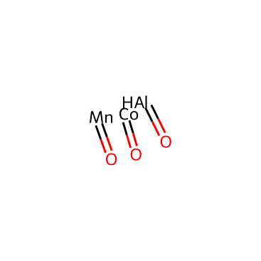 [O]=[AlH].[O]=[Co].[O]=[Mn]